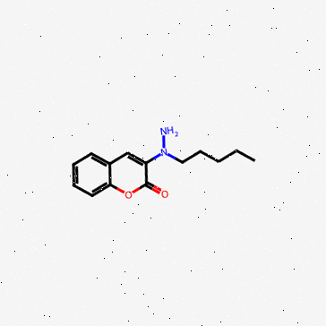 CCCCCN(N)c1cc2ccccc2oc1=O